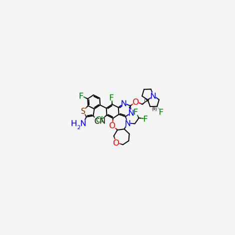 N#Cc1c(N)sc2c(F)ccc(-c3c(Cl)c4c5c(nc(OC[C@@]67CCCN6C[C@H](F)C7)nc5c3F)N(CC(F)F)C3CCCOCC3O4)c12